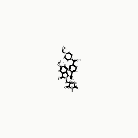 CCN1CCN(C(=N)c2ccc(C#C[C@]3(CN4Cc5ccc(OC)cc5C4=O)NC(=O)NC3=O)cc2)CC1